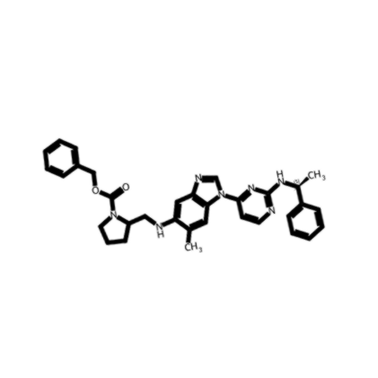 Cc1cc2c(cc1NCC1CCCN1C(=O)OCc1ccccc1)ncn2-c1ccnc(N[C@@H](C)c2ccccc2)n1